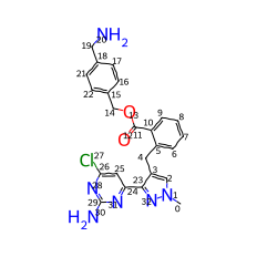 Cn1cc(Cc2ccccc2C(=O)OCc2ccc(CN)cc2)c(-c2cc(Cl)nc(N)n2)n1